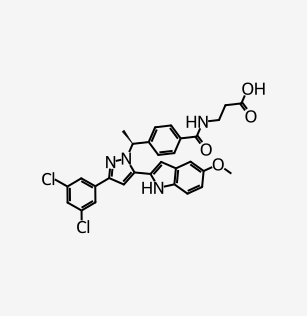 COc1ccc2[nH]c(-c3cc(-c4cc(Cl)cc(Cl)c4)nn3[C@@H](C)c3ccc(C(=O)NCCC(=O)O)cc3)cc2c1